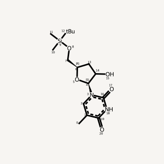 Cc1cn([C@H]2O[C@@H](CO[Si](C)(C)C(C)(C)C)CC2O)c(=O)[nH]c1=O